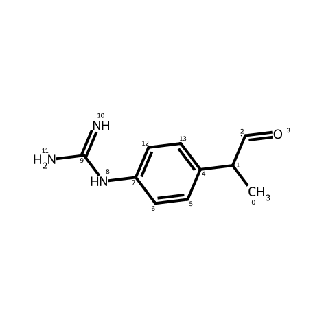 CC([C]=O)c1ccc(NC(=N)N)cc1